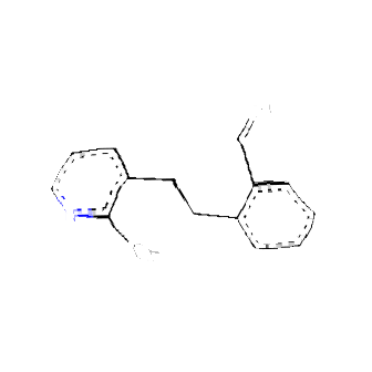 C=Cc1ccccc1CCc1cccnc1C